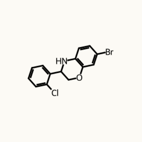 Clc1ccccc1C1COc2cc(Br)ccc2N1